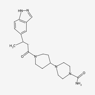 CC([CH]C(=O)N1CCC(N2CCN(C(N)=O)CC2)CC1)c1ccc2[nH]ncc2c1